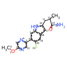 COc1cnc(-c2cc3[nH]c(CC(C)C(N)=O)cc3cc2F)cn1